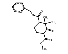 COC(=O)C1CCN(C(=O)OCc2ccccc2)C(C)(C)C1=O